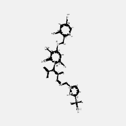 C=C(C)/C(=C(C)\C=N/Cn1ccc(C(C)(C)O)n1)n1c(C)cc(OCc2ncc(F)cc2F)c(Cl)c1=O